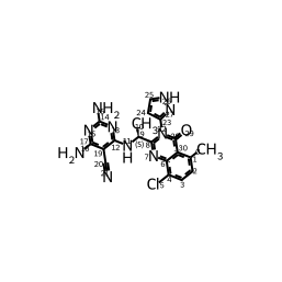 Cc1ccc(Cl)c2nc([C@H](C)Nc3nc(N)nc(N)c3C#N)n(-c3cc[nH]n3)c(=O)c12